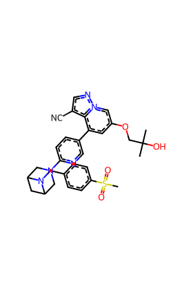 CC(C)(O)COc1cc(-c2ccc(N3CC4CC(C3)N4Cc3ccc(S(C)(=O)=O)cc3)nc2)c2c(C#N)cnn2c1